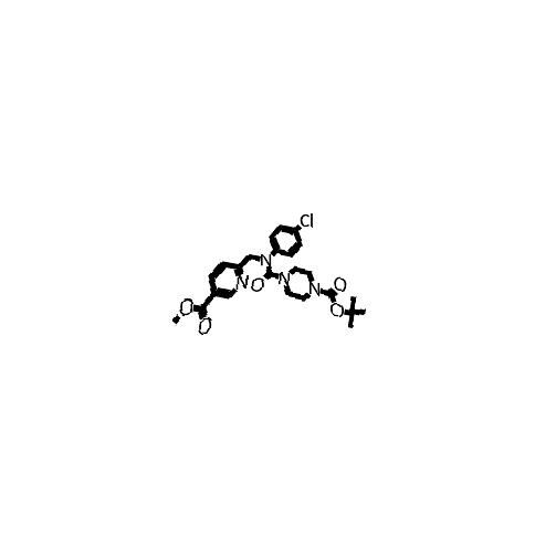 COC(=O)c1ccc(CN(C(=O)N2CCN(C(=O)OC(C)(C)C)CC2)c2ccc(Cl)cc2)nc1